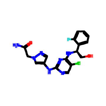 NC(=O)Cn1cc(Nc2ncc(Cl)c(N[C@H](CO)c3ccccc3F)n2)cn1